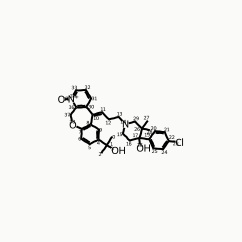 CC(C)(O)c1ccc2c(c1)C(=CCCN1CCC(O)(c3ccc(Cl)cc3)C(C)(C)C1)c1ccc[n+]([O-])c1CO2